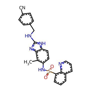 Cc1c(NS(=O)(=O)c2cccc3cccnc23)ccc2[nH]c(NCc3ccc(C#N)cc3)nc12